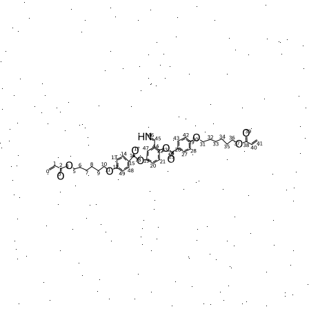 C=CC(=O)OCCCCCCOc1ccc(C(=O)Oc2ccc(OC(=O)c3ccc(OCCCCCCOC(=O)C=C)cc3)c(C=N)c2)cc1